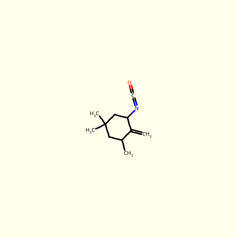 C=C1C(C)CC(C)(C)CC1N=C=O